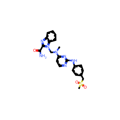 CN(Cn1c(C(N)=O)nc2ccccc21)c1ccnc(Nc2ccc(CS(C)(=O)=O)cc2)n1